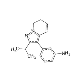 CC(C)c1nn2c(c1-c1cccc(N)c1)C=CCC2